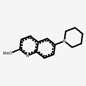 COc1ccc2cc(N3CCCCC3)ccc2n1